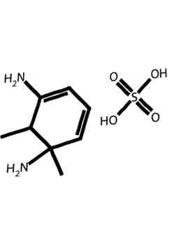 CC1C(N)=CC=CC1(C)N.O=S(=O)(O)O